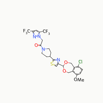 COc1ccc(Cl)c2c1COC(c1csc(C3CCN(C(=O)Cn4nc(C(F)(F)F)cc4C(F)(F)F)CC3)n1)OC2